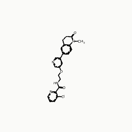 CN1C(=O)CCc2cc(-c3cncc(OCCNC(=O)c4ncccc4Cl)c3)ccc21